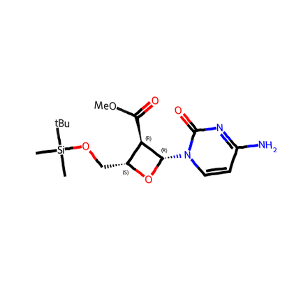 COC(=O)[C@H]1[C@H](n2ccc(N)nc2=O)O[C@@H]1CO[Si](C)(C)C(C)(C)C